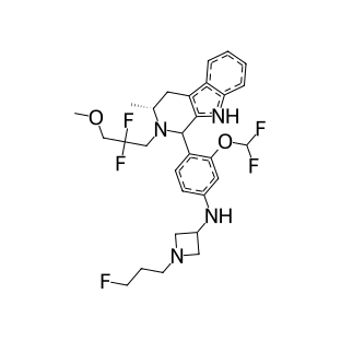 COCC(F)(F)CN1C(c2ccc(NC3CN(CCCF)C3)cc2OC(F)F)c2[nH]c3ccccc3c2C[C@H]1C